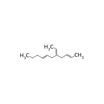 CC=CCC(=CC)CC=CCCC